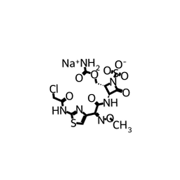 CO/N=C(\C(=O)N[C@H]1C(=O)N(S(=O)(=O)[O-])[C@H]1COC(N)=O)c1csc(NC(=O)CCl)n1.[Na+]